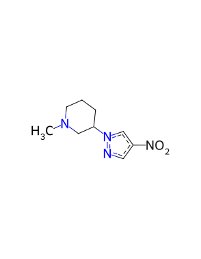 CN1CCCC(n2cc([N+](=O)[O-])cn2)C1